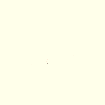 C[C@H](O)[C@H](OP)OC(CO)[C@@H](O)CO